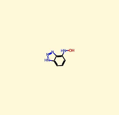 ONc1cccc2[nH]nnc12